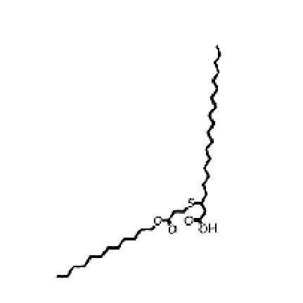 CCCCCCCCCCCCCCCCCCC(CC(=O)O)SCCC(=O)OCCCCCCCCCCCC